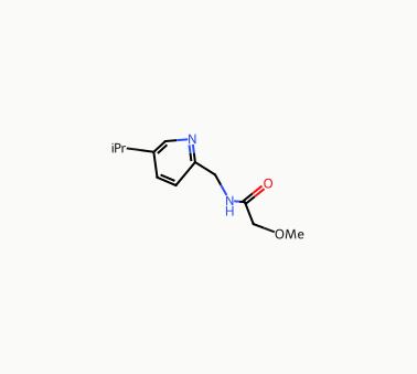 COCC(=O)NCc1ccc(C(C)C)cn1